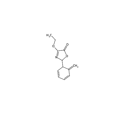 C=C1C=CC=CC1C1N=C(OCC)C(=O)O1